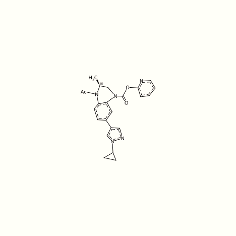 CC(=O)N1c2ccc(-c3cnn(C4CC4)c3)cc2N(C(=O)Oc2ccccn2)C[C@@H]1C